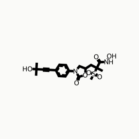 CC(C)(O)C#Cc1ccc(N2CC(CC(C)(C(=O)NO)S(C)(=O)=O)OC2=O)cc1